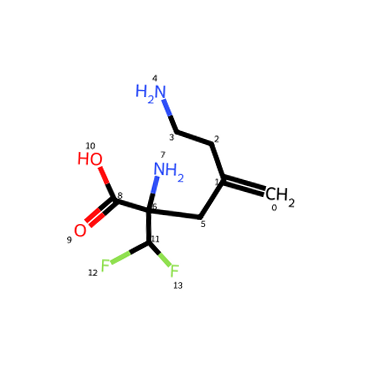 C=C(CCN)CC(N)(C(=O)O)C(F)F